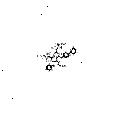 COC(=O)N[C@H](C(=O)N[C@@H](Cc1ccc(-c2ccccn2)cc1)C[C@@H](OCSC)[C@H](Cc1ccccc1)NC(=O)[C@@H](N(C)C(=O)O)C(C)(C)C)C(C)(C)C